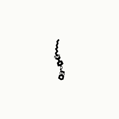 CCCCCCCCc1ncc(-c2ccc(OC[C@H]3COC4(CCCCC4)O3)cc2)cn1